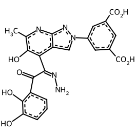 Cc1nc2nn(-c3cc(C(=O)O)cc(C(=O)O)c3)cc2c(C(=NN)C(=O)c2cccc(O)c2O)c1O